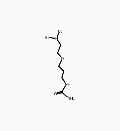 CCN(CC)CCOCCCNC(N)=O